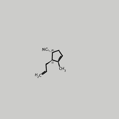 C=CC[C@@H]1C(C)=CC[C@H]1C#N